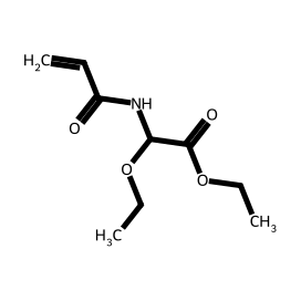 C=CC(=O)NC(OCC)C(=O)OCC